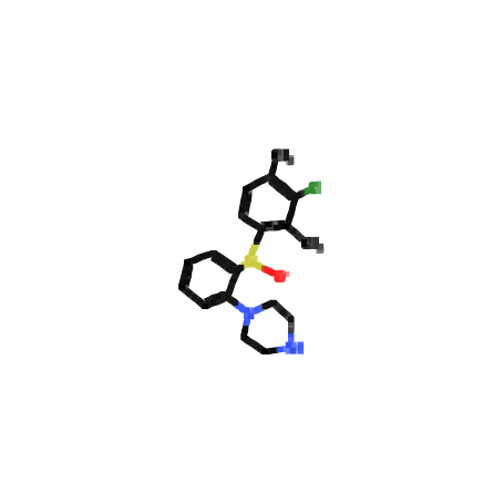 Cc1ccc([S+]([O-])c2ccccc2N2CCNCC2)c(C)c1Cl